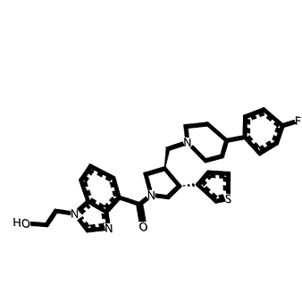 O=C(c1cccc2c1ncn2CCO)N1C[C@@H](CN2CCC(c3ccc(F)cc3)CC2)[C@H](c2ccsc2)C1